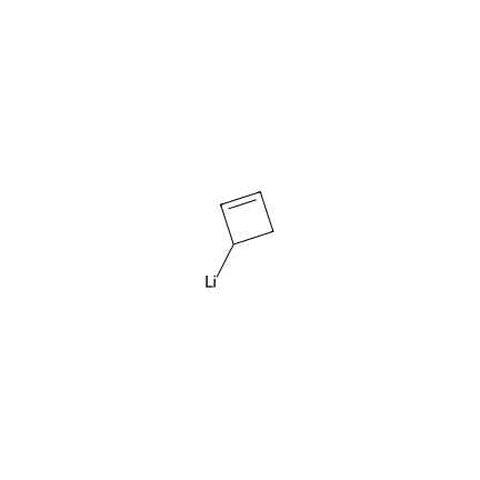 [Li][CH]1C=CC1